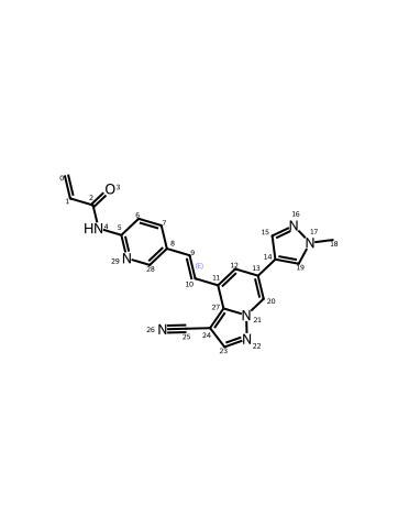 C=CC(=O)Nc1ccc(/C=C/c2cc(-c3cnn(C)c3)cn3ncc(C#N)c23)cn1